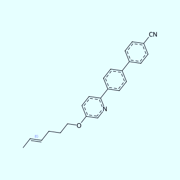 C/C=C/CCCOc1ccc(-c2ccc(-c3ccc(C#N)cc3)cc2)nc1